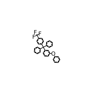 FC(F)(F)c1ccc(C(c2ccccc2)(c2ccccc2)c2cccc(Oc3ccccc3)c2)cc1